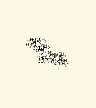 CN1C(C)(C)CC2(CC1(C)C)NC(=O)N(CCC(CCN1C(=O)NC3(CC(C)(C)N(C)C(C)(C)C3)C1=O)(CC(=O)O)C(=O)O)C2=O